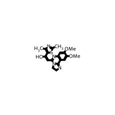 COc1cc2c(cc1OC)C1=NCCN1C(/C=C(/O)c1sc(C)nc1C)=N2